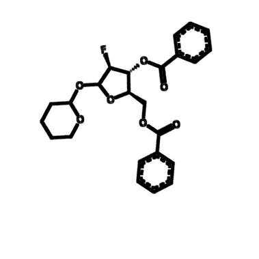 O=C(OC[C@H]1OC(OC2CCCCO2)[C@@H](F)[C@@H]1OC(=O)c1ccccc1)c1ccccc1